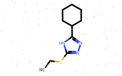 N#CCSc1nnc(C2CCCCC2)[nH]1